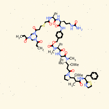 C=CC(=O)N1CN(C(=O)C=C)CN(C(=O)CCSCC(=O)N[C@H](C(=O)N[C@@H](CCCNC(N)=O)C(=O)Nc2ccc(COC(=O)N(C)[C@H](C(=O)N[C@H](C(=O)N(C)[C@@H]([C@@H](C)CC)[C@@H](CC(=O)N3CCC[C@H]3[C@H](OC)[C@@H](C)C(=O)N[C@@H](Cc3ccccc3)C3=NCCS3)OC)C(C)C)C(C)C)cc2)C(C)C)C1